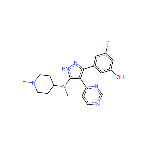 CN1CCC(N(C)c2[nH]nc(-c3cc(O)cc(Cl)c3)c2-c2ccncn2)CC1